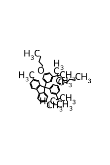 CCCCOc1cc(C(C)(C)C)cc(C2(c3cc(OCCCC)cc(C(C)(C)C)c3)c3cc(C)ccc3-c3ccc(C)cc32)c1